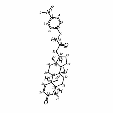 CN(C)c1ccc(CNC(=O)C[C@H]2CC[C@H]3[C@@H]4CC[C@H]5N(C)C(=O)C=C[C@]5(C)[C@H]4CC[C@]23C)cc1